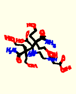 NC(=O)C(CCO)(CCO)C(NCCNCC(=O)O)(C(=O)O)C(CCO)(CCO)C(N)=O